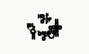 NC[C@H]1CN[C@@H](CONC(=O)[C@@H]2CC[C@@H]3CN2C(=O)N3OS(=O)(=O)O)C1.O=C(O)C(F)(F)F